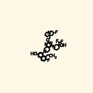 CCc1c(F)ccc2cc(O)cc(N3CCc4c(nc(OC[C@@]56CCCN5C[C@H](F)C6)nc4N4CCCC(O)(C(F)F)C4)C3)c12